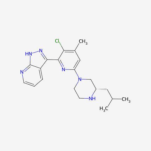 Cc1cc(N2CCN[C@@H](CC(C)C)C2)nc(-c2n[nH]c3ncccc23)c1Cl